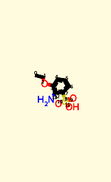 CCOc1cccc(S(=O)(=O)O)c1N